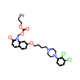 CC(C)CCOC(=O)OCn1c(=O)ccc2ccc(OCCCCN3CCN(c4cccc(Cl)c4Cl)CC3)cc21